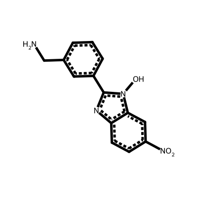 NCc1cccc(-c2nc3ccc([N+](=O)[O-])cc3n2O)c1